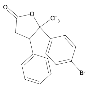 O=C1CC(c2ccccc2)C(c2ccc(Br)cc2)(C(F)(F)F)O1